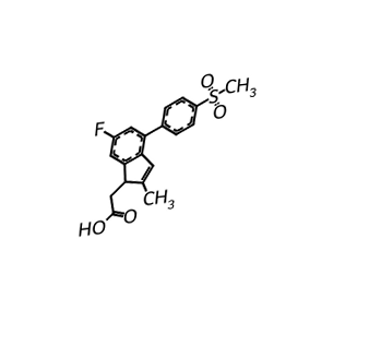 CC1=Cc2c(-c3ccc(S(C)(=O)=O)cc3)cc(F)cc2C1CC(=O)O